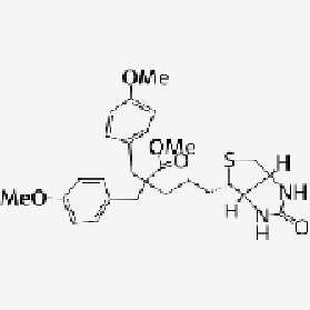 COC(=O)C(CCC[C@@H]1SC[C@@H]2NC(=O)N[C@@H]21)(Cc1ccc(OC)cc1)Cc1ccc(OC)cc1